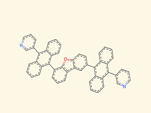 c1cncc(-c2c3ccccc3c(-c3ccc4oc5c(-c6c7ccccc7c(-c7cccnc7)c7ccccc67)cccc5c4c3)c3ccccc23)c1